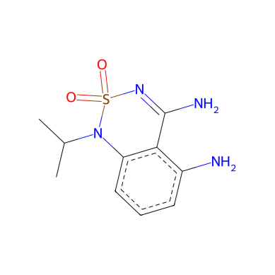 CC(C)N1c2cccc(N)c2C(N)=NS1(=O)=O